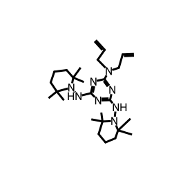 C=CCN(CC=C)c1nc(NN2C(C)(C)CCCC2(C)C)nc(NN2C(C)(C)CCCC2(C)C)n1